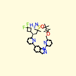 CC(C)(C[C@@H](c1cccc(-c2ccc3cnn(-c4cccc(CO[Si](C)(C)C(C)(C)C)n4)c3c2)n1)C1CC(F)(F)C1)[S+](N)[O-]